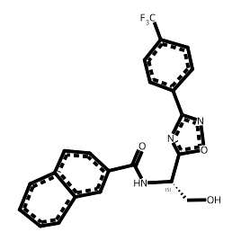 O=C(N[C@@H](CO)c1nc(-c2ccc(C(F)(F)F)cc2)no1)c1ccc2ccccc2c1